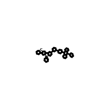 c1ccc(-c2c3ccccc3c(-c3ccc(-c4cccc(-c5ccc6c(c5)c5cc7sc8ccccc8c7cc5n6-c5ccccc5)c4)cc3)c3ccccc23)cc1